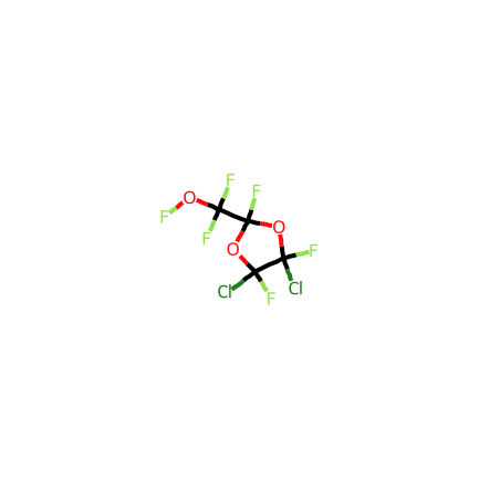 FOC(F)(F)C1(F)OC(F)(Cl)C(F)(Cl)O1